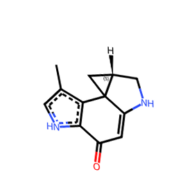 Cc1c[nH]c2c1C13C[C@@H]1CNC3=CC2=O